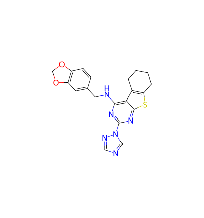 c1ncn(-c2nc(NCc3ccc4c(c3)OCO4)c3c4c(sc3n2)CCCC4)n1